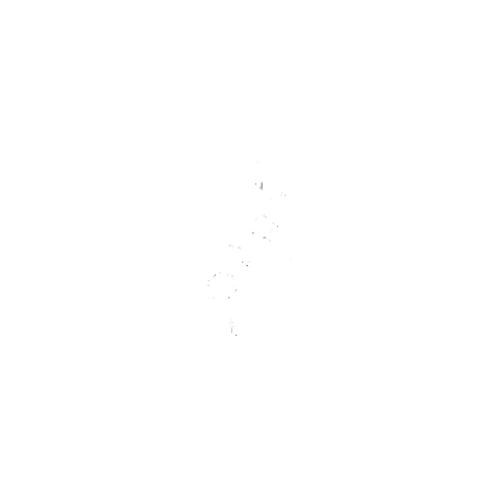 CC(C)C1CCc2c(nn(C)c2C(=O)Nc2ccc(F)c(C#N)c2)S(=N)N1